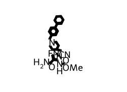 COC(=O)Nc1nn(C2(CC#N)CCN(Cc3ccc(C4=CCCCC4)cc3)CC2F)cc1C(N)=O